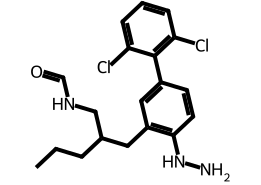 CCCC(CNC=O)Cc1cc(-c2c(Cl)cccc2Cl)ccc1NN